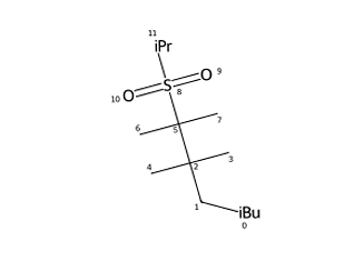 CCC(C)CC(C)(C)C(C)(C)S(=O)(=O)C(C)C